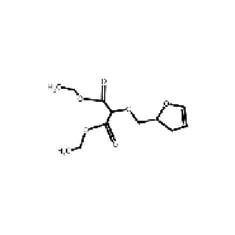 CCOC(=O)C(OC[C@@H]1CC=CO1)C(=O)OCC